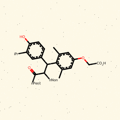 CCCCCCCCCC(C(=O)CCCCC)C(c1ccc(O)c(C(C)C)c1)c1c(C)cc(OCC(=O)O)cc1C